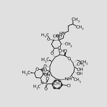 CC[C@H]1OC(=O)[C@H](C)[C@@H](O[C@H]2C[C@@](C)(OC)[C@](O)(CNCCC(C)C)[C@H](C)O2)[C@H](C)[C@@H](O[C@@H]2O[C@H](C)C[C@H](N(C)S(=O)(=O)c3ccc(Cl)cc3)[C@H]2O)[C@](C)(O)C[C@@H](C)CN[C@H](C)[C@@H](O)[C@]1(C)O